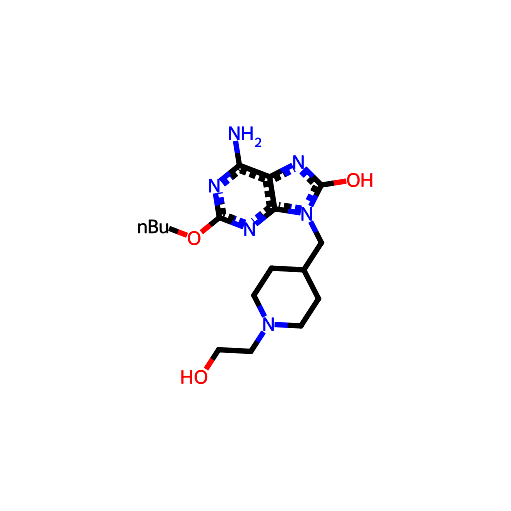 CCCCOc1nc(N)c2nc(O)n(CC3CCN(CCO)CC3)c2n1